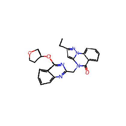 CCc1cc2n(Cc3nc(OC4CCOC4)c4ccccc4n3)c(=O)c3ccccc3n2n1